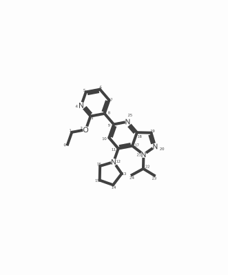 CCOc1ncccc1-c1cc(N2CCCC2)c2c(cnn2C(C)C)n1